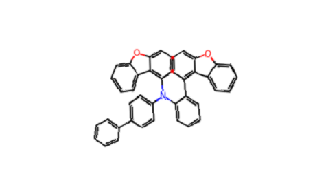 c1ccc(-c2ccc(N(c3ccccc3-c3cccc4oc5ccccc5c34)c3cccc4oc5ccccc5c34)cc2)cc1